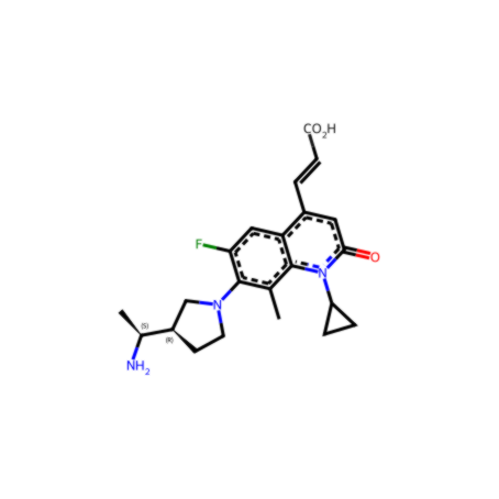 Cc1c(N2CC[C@@H]([C@H](C)N)C2)c(F)cc2c(C=CC(=O)O)cc(=O)n(C3CC3)c12